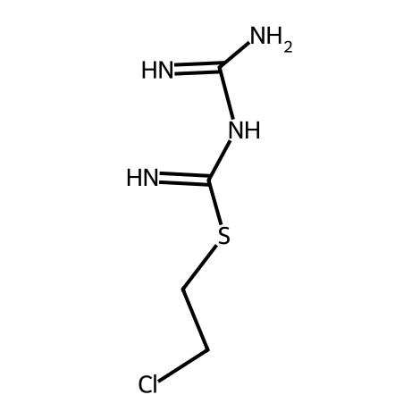 N=C(N)NC(=N)SCCCl